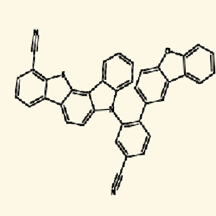 N#Cc1ccc(-c2ccc3oc4ccccc4c3c2)c(-n2c3ccccc3c3c4sc5c(C#N)cccc5c4ccc32)c1